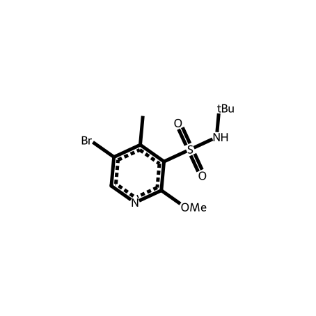 COc1ncc(Br)c(C)c1S(=O)(=O)NC(C)(C)C